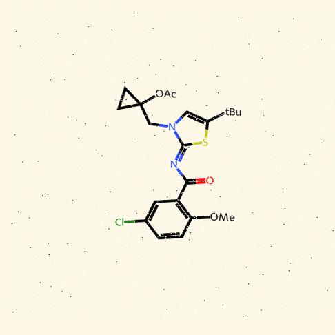 COc1ccc(Cl)cc1C(=O)/N=c1\sc(C(C)(C)C)cn1CC1(OC(C)=O)CC1